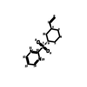 C=C[C@H]1CCC[C@H](S(=O)(=O)c2ncccn2)C1